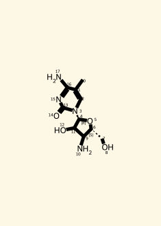 Cc1cn([C@@H]2O[C@H](CO)C(N)C2O)c(=O)nc1N